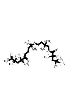 CC(=O)C(C)(C)CC(C)(C)C(=O)OCC(C)(C)CCOC(C)(C)CCCC(=O)C(C)(C)CC(C)(C)C(=O)P